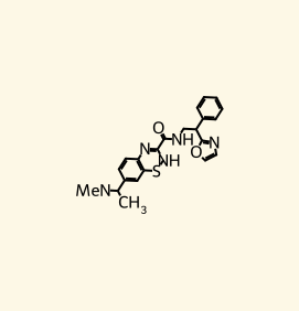 CNC(C)c1ccc2c(c1)SNC(C(=O)NCC(c1ccccc1)c1ncco1)=N2